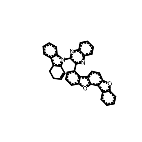 C1=Cc2c(c3ccccc3n2-c2nc3ccccc3nc2-c2cccc3oc4c(ccc5oc6ccccc6c54)c23)CC1